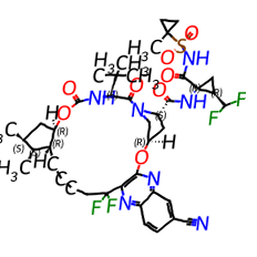 C[C@@H]1[C@H]2CCCCC(F)(F)c3nc4ccc(C#N)cc4nc3O[C@@H]3C[C@@H](C(=O)N[C@]4(C(=O)NS(=O)(=O)C5(C)CC5)C[C@H]4C(F)F)N(C3)C(=O)[C@H](C(C)(C)C)NC(=O)O[C@@H]2C[C@@H]1C